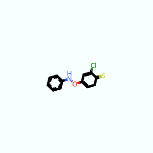 S=C1CC=C(ONc2ccccc2)C=C1Cl